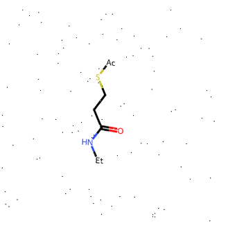 CCNC(=O)CCSC(C)=O